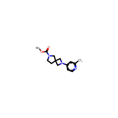 CC(C)(C)OC(=O)N1CCC2(C1)CN(c1ccnc(C(F)(F)F)c1)C2